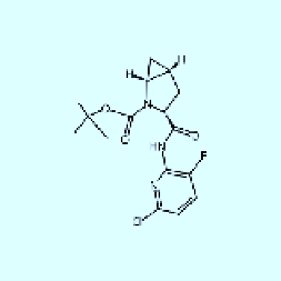 CC(C)(C)OC(=O)N1[C@@H]2C[C@@H]2C[C@H]1C(=O)Nc1nc(Cl)ccc1F